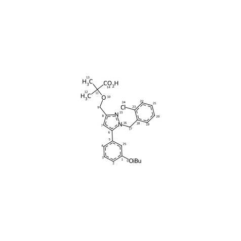 CC(C)COc1cccc(-c2cc(COC(C)(C)C(=O)O)nn2Cc2ccccc2Cl)c1